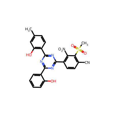 Cc1ccc(-c2nc(-c3ccccc3O)nc(-c3ccc(C#N)c(S(C)(=O)=O)c3[N+](=O)[O-])n2)c(O)c1